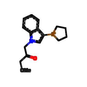 COCC(=O)Cn1cc([S+]2CCCC2)c2ccccc21